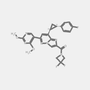 COc1ncc(-c2cc([C@H]3C[C@@H]3c3ccc(F)cc3)c3nc(C(=O)N4CC(F)(F)C4)cn3n2)c(OC)n1